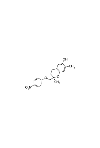 Cc1cc2c(cc1O)CCC(C)(COc1ccc([N+](=O)[O-])cc1)O2